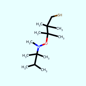 CC(C)C(C)(C)N(C)OC(C)(C)C(C)(C)CS